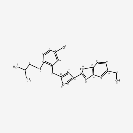 CC(C)COc1ccc(Cl)cc1Cc1nc(-c2nc3cc(CO)ccc3[nH]2)cs1